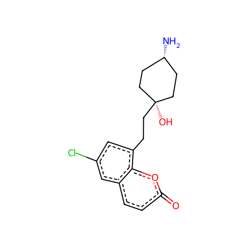 N[C@H]1CC[C@](O)(CCc2cc(Cl)cc3ccc(=O)oc23)CC1